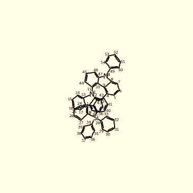 c1ccc(-c2cccc3c2c2c(-n4c5ccccc5c5c([Si](c6ccccc6)(c6ccccc6)c6ccccc6)cccc54)cccc2n3-c2ccccc2)cc1